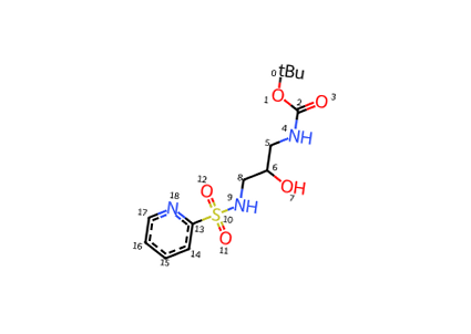 CC(C)(C)OC(=O)NCC(O)CNS(=O)(=O)c1ccccn1